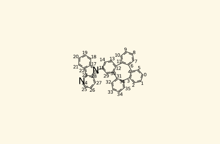 c1ccc2c(c1)-c1ccccc1-c1ccc(-n3c4ccccc4c4ncccc43)cc1-c1ccccc1-2